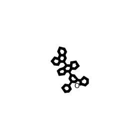 c1ccc(-c2cc(-c3c4ccccc4c(-c4cc5ccccc5c5ccccc45)c4ccccc34)cc3c2oc2ccccc23)cc1